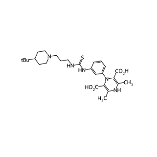 CC1=C(C(=O)O)N(c2cccc(NC(=S)NCCCN3CCC(C(C)(C)C)CC3)c2)C(C(=O)O)=C(C)N1